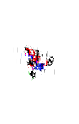 CC(C)C[C@@H]1CN(C[C@H](Cc2ccc(Cl)cc2Cl)NC(=O)OC(C)(C)C)[C@@H](CCCN(CCNC(=O)OC(C)(C)C)C(=O)OC(C)(C)C)CN1C(=O)Cc1ccc2ccccc2c1